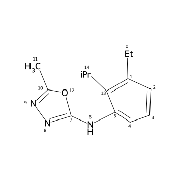 CCc1cccc(Nc2nnc(C)o2)c1C(C)C